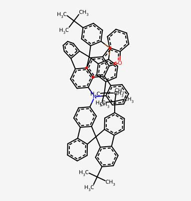 CC(C)(C)c1ccc2c(c1)C1(c3cc(C(C)(C)C)ccc3S2)c2ccccc2-c2ccc(N(c3ccc4c(c3)C3(c5ccccc5-4)c4cc(C(C)(C)C)ccc4-c4ccc(C(C)(C)C)cc43)c3ccccc3-c3cccc4c3oc3ccccc34)cc21